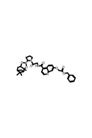 CC1(C)C2CC3OB(C4CCCN4C(=O)CNC(=O)c4ccnc5cc(OCC(=O)OCc6ccccc6)ccc45)OC3(C)C1C2